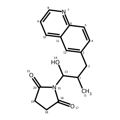 CC(Cc1ccc2ncccc2c1)C(O)N1C(=O)CCC1=O